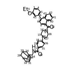 CCOc1cccc(-c2ccc(C(=O)N3CCN(c4ccc(C(=O)NCC56CC7CC(CC(C7)C5)C6)cc4)CC3)c3ccccc23)c1